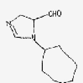 O=CC1CN=CN1C1CCCCC1